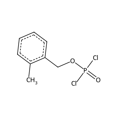 Cc1ccccc1COP(=O)(Cl)Cl